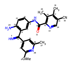 COc1cc(C(=N)c2cc(NC(=O)c3ncc(C#N)c(C)c3C)ccc2N)cc(C)n1